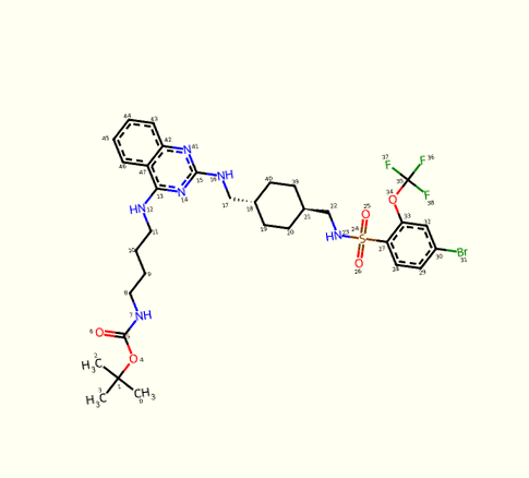 CC(C)(C)OC(=O)NCCCCNc1nc(NC[C@H]2CC[C@H](CNS(=O)(=O)c3ccc(Br)cc3OC(F)(F)F)CC2)nc2ccccc12